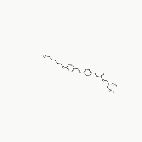 CCCCCCOc1ccc(C=Nc2ccc(C=CC(=O)OCC(C)CC)cc2)cc1